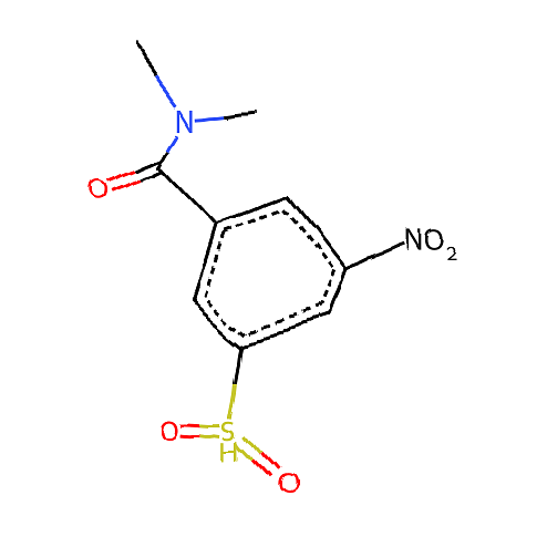 CN(C)C(=O)c1cc([N+](=O)[O-])cc([SH](=O)=O)c1